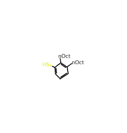 CCCCCCCCc1cccc(S)c1CCCCCCCC